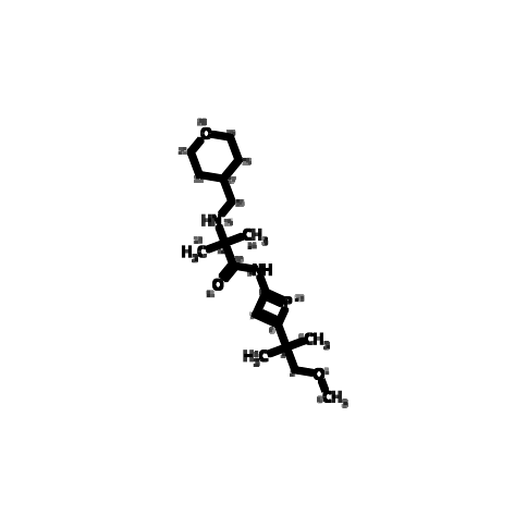 COCC(C)(C)C1=CC(NC(=O)C(C)(C)NCC2CCOCC2)=P1